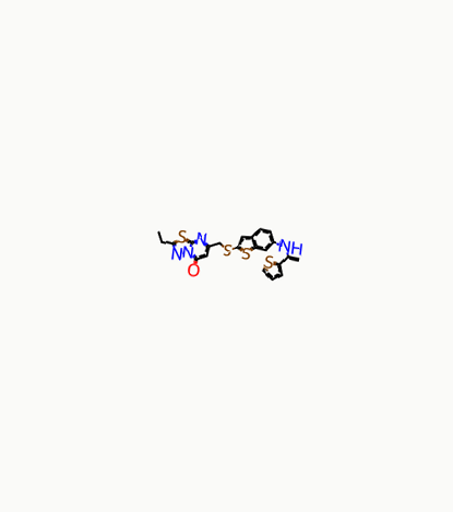 C=C(Nc1ccc2cc(SCc3cc(=O)n4nc(CC)sc4n3)sc2c1)c1cccs1